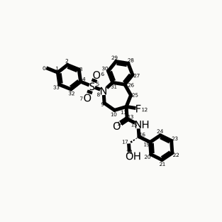 Cc1ccc(S(=O)(=O)N2CCC(F)(C(=O)N[C@@H](CO)c3ccccc3)Cc3ccccc32)cc1